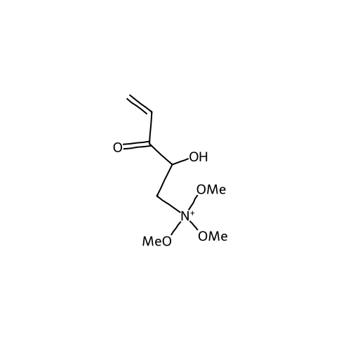 C=CC(=O)C(O)C[N+](OC)(OC)OC